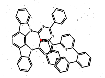 c1ccc(-c2nc(-c3ccccc3)nc(-n3c4ccccc4c4ccc5c6ccccc6n(-c6ccc(-c7cccc(-c8ccccc8-c8ccccc8)n7)cc6)c5c43)n2)cc1